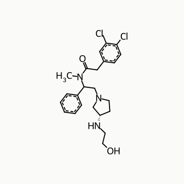 CN(C(=O)Cc1ccc(Cl)c(Cl)c1)C(CN1CC[C@H](NCCO)C1)c1ccccc1